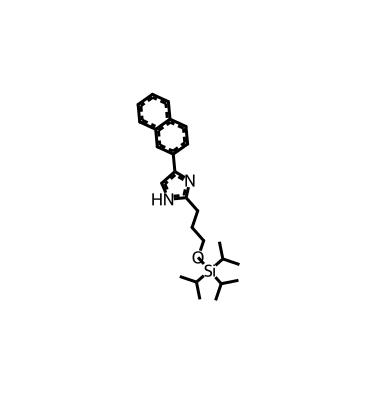 CC(C)[Si](OCCCc1nc(-c2ccc3ccccc3c2)c[nH]1)(C(C)C)C(C)C